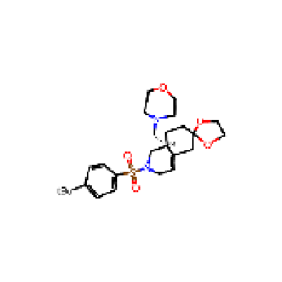 CC(C)(C)c1ccc(S(=O)(=O)N2CC=C3CC4(CC[C@]3(CN3CCOCC3)C2)OCCO4)cc1